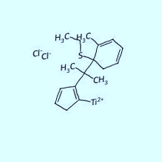 CCSC1(C(C)(C)C2=[C]([Ti+2])CC=C2)CC=CC=C1C.[Cl-].[Cl-]